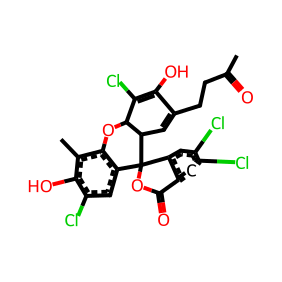 CC(=O)CCC1=CC2C(Oc3c(cc(Cl)c(O)c3C)C23OC(=O)c2cc(Cl)c(Cl)cc23)C(Cl)=C1O